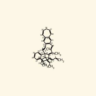 C=C\C=C/C1=C(C)/C(C)=C/c2cc3c(cc2/C=C/C1(C(=C)C=C)c1ccccc1C(C)/C=C\C)C=CCC=C3